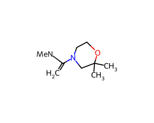 C=C(NC)N1CCOC(C)(C)C1